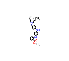 CCCCN(CCCC)Cc1ccc(Nc2ccc(Nc3ccccc3C(=O)OC)cc2)cc1